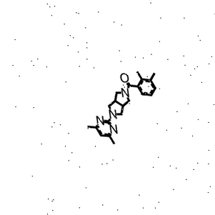 Cc1cc(C)nc(N2CC3CN(C(=O)c4cccc(C)c4C)CC3C2)n1